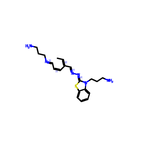 C/C=C(\C=C/C=N/CCCN)/C=N/N=c1\sc2ccccc2n1CCCN